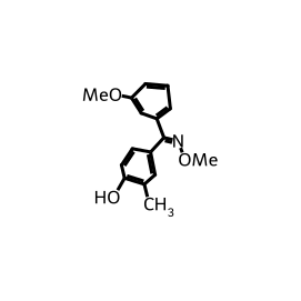 CON=C(c1cccc(OC)c1)c1ccc(O)c(C)c1